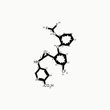 O=C(O)C1=NCC(NC2OC2c2cc(C(F)(F)F)ccc2Oc2ccccc2OC(F)F)C=C1